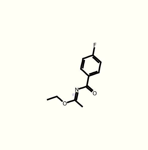 CCO/C(C)=N/C(=O)c1ccc(F)cc1